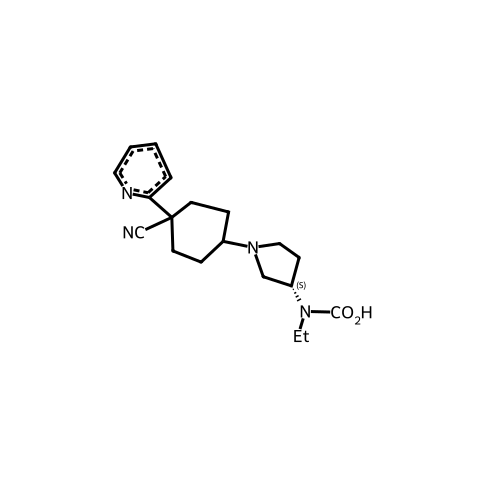 CCN(C(=O)O)[C@H]1CCN(C2CCC(C#N)(c3ccccn3)CC2)C1